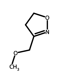 COCC1=NOCC1